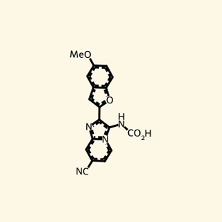 COc1ccc2oc(-c3nc4cc(C#N)ccn4c3NC(=O)O)cc2c1